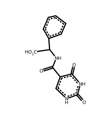 O=C(NC(C(=O)O)c1ccccc1)c1c[nH]c(=O)[nH]c1=O